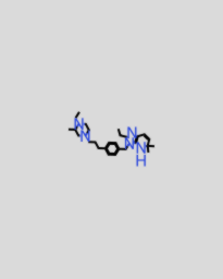 CCc1nc2c(n1Cc1ccc(CCCN3CCN(CC)C(C)C3)cc1)NC(C)(C)C=C2